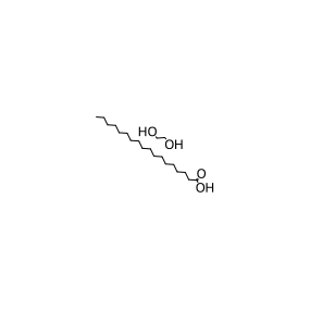 CCCCCCCCCCCCCCCCCC(=O)O.OCCO